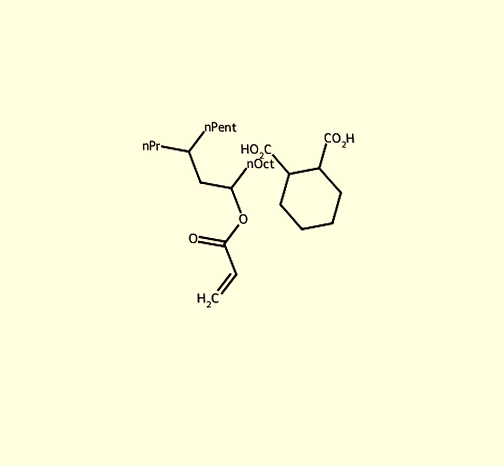 C=CC(=O)OC(CCCCCCCC)CC(CCC)CCCCC.O=C(O)C1CCCCC1C(=O)O